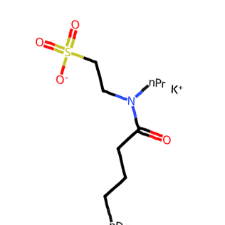 CCCCCCCCCCCCCC(=O)N(CCC)CCS(=O)(=O)[O-].[K+]